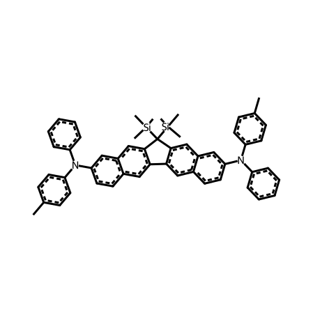 Cc1ccc(N(c2ccccc2)c2ccc3cc4c(cc3c2)C([Si](C)(C)C)([Si](C)(C)C)c2cc3cc(N(c5ccccc5)c5ccc(C)cc5)ccc3cc2-4)cc1